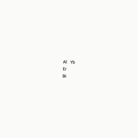 [Al].[Bi].[Er].[Yb]